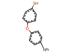 [CH2]CCc1ccc(Oc2ccc(S)cc2)cc1